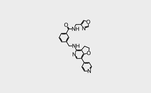 O=C(NCc1cocn1)c1cccc(CNc2ncc(-c3ccncc3)c3c2CCO3)c1